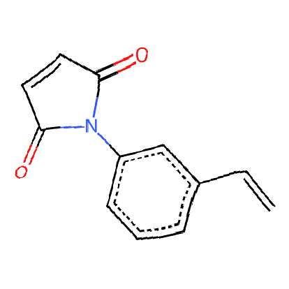 C=Cc1cccc(N2C(=O)C=CC2=O)c1